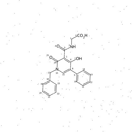 O=C(O)CNC(=O)c1c(O)c(-c2ccccc2)cn(Cc2ccccc2)c1=O